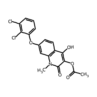 CC(=O)Oc1c(O)c2ccc(Oc3cccc(Cl)c3Cl)cc2n(C)c1=O